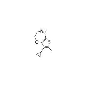 Cc1sc2c(c1C1CC1)OCCNC2